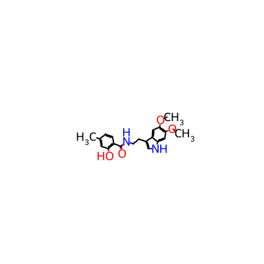 COc1cc2[nH]cc(CCNC(=O)c3ccc(C)cc3O)c2cc1OC